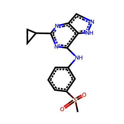 CS(=O)(=O)c1cccc(Nc2nc(C3CC3)nc3cn[nH]c23)c1